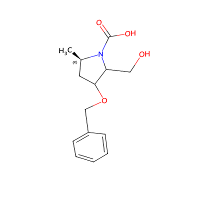 C[C@@H]1CC(OCc2ccccc2)C(CO)N1C(=O)O